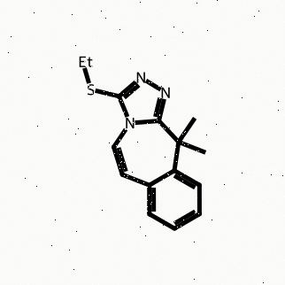 CCSc1nnc2n1C=Cc1ccccc1C2(C)C